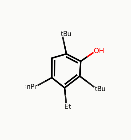 CC[C]c1cc(C(C)(C)C)c(O)c(C(C)(C)C)c1CC